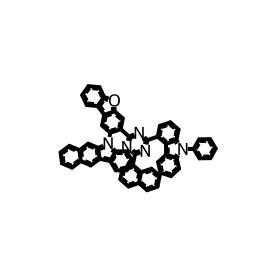 c1ccc(-n2c3ccccc3c3c(-c4nc(-c5cc6oc7ccccc7c6cc5-n5c6ccccc6c6cc7ccccc7cc65)nc(-c5cccc6ccccc56)n4)cccc32)cc1